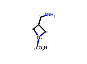 NCC1CN(C(=O)O)C1